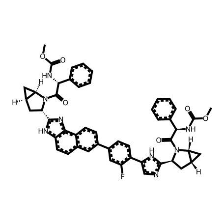 COC(=O)N[C@@H](C(=O)N1[C@@H]2C[C@@H]2C[C@H]1c1ncc(-c2ccc(-c3ccc4c(ccc5[nH]c([C@@H]6C[C@H]7C[C@H]7N6C(=O)[C@H](NC(=O)OC)c6ccccc6)nc54)c3)cc2F)[nH]1)c1ccccc1